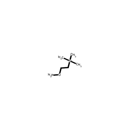 C[N+](C)(C)CCOP